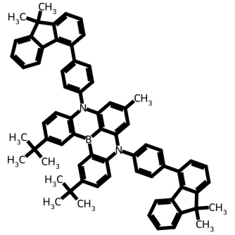 Cc1cc2c3c(c1)N(c1ccc(-c4cccc5c4-c4ccccc4C5(C)C)cc1)c1ccc(C(C)(C)C)cc1B3c1cc(C(C)(C)C)ccc1N2c1ccc(-c2cccc3c2-c2ccccc2C3(C)C)cc1